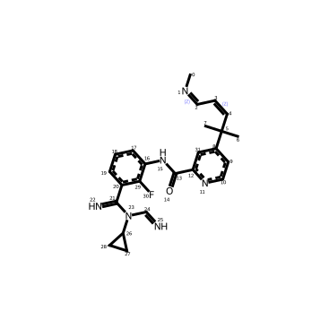 C/N=C\C=C/C(C)(C)c1ccnc(C(=O)Nc2cccc(C(=N)N(C=N)C3CC3)c2F)c1